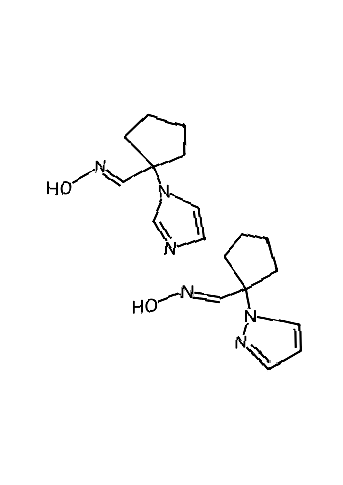 ON=CC1(n2cccn2)CCCC1.ON=CC1(n2ccnc2)CCCC1